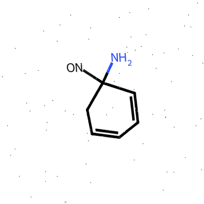 NC1(N=O)C=CC=CC1